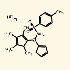 CC1=C(C)C(C)[C]([Zr]([SiH2]S(=O)(=O)c2ccc(C)cc2)[C]2=CC=CC2)=C1C.Cl.Cl